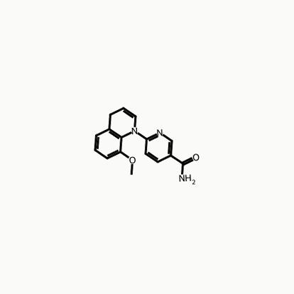 COc1cccc2c1N(c1ccc(C(N)=O)cn1)C=CC2